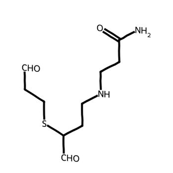 NC(=O)CCNCCC(C=O)SCCC=O